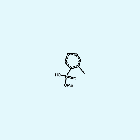 COP(=O)(O)c1ccccc1C